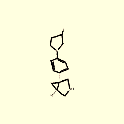 FC1CCN(c2ccc([C@]34CNC[C@H]3C4)cc2)C1